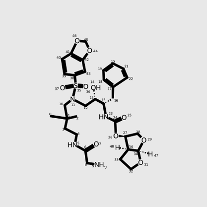 CC(C)(CCNC(=O)CN)CN(C[C@H](O)[C@H](Cc1ccccc1)NC(=O)O[C@H]1CO[C@H]2OCC[C@H]21)S(=O)(=O)c1ccc2c(c1)OCO2